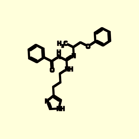 CC(COc1ccccc1)/N=C(/NCCCc1c[nH]cn1)NC(=O)c1ccccc1